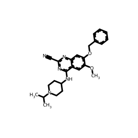 COc1cc2c(NC3CCN(C(C)C)CC3)nc(C#N)nc2cc1OCc1ccccc1